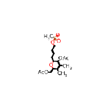 CC(=O)OCC1OC(CC=CCOS(C)(=O)=O)C(OC(C)=O)C(C)C1C